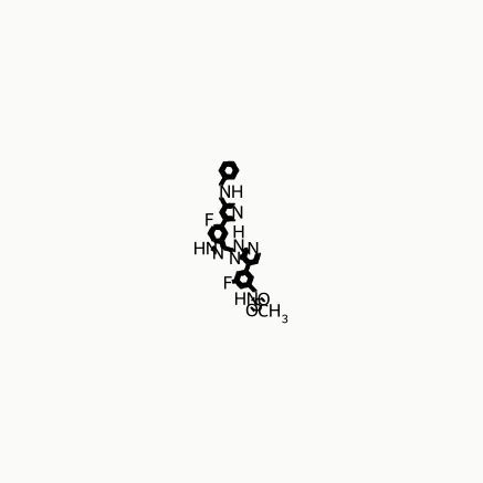 CS(=O)(=O)NCc1cc(F)cc(-c2ccnc3[nH]c(-c4n[nH]c5cc(F)c(-c6cncc(CNCc7ccccc7)c6)cc45)nc23)c1